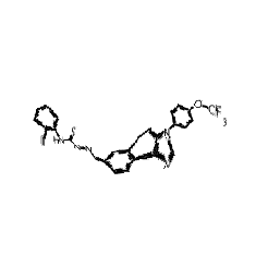 FC(F)(F)Oc1ccc(-n2cnc3c2=CCc2cc(=CN=NC(=S)Nc4ccccc4I)ccc2=3)cc1